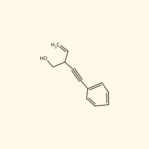 C=CC(C#Cc1ccccc1)CO